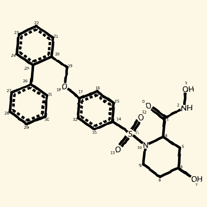 O=C(NO)C1CC(O)CCN1S(=O)(=O)c1ccc(OCc2ccccc2-c2ccccc2)cc1